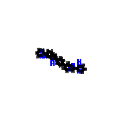 c1cc2cc(-c3ccc(-c4ccn5cc(C6=NCCCN6)nc5c4)cc3)[nH]c2cc1C1=NCCCN1